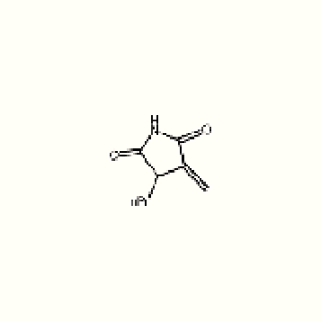 C=C1C(=O)NC(=O)C1CCC